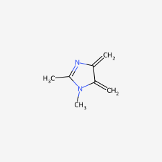 C=c1nc(C)n(C)c1=C